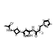 CC(=O)N[C@H]1C[C@@H](c2cc(NC(=O)[C@@H](C)Cn3cccn3)[nH]n2)C1